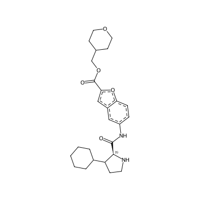 O=C(OCC1CCOCC1)c1cc2cc(NC(=O)[C@H]3NCCC3C3CCCCC3)ccc2o1